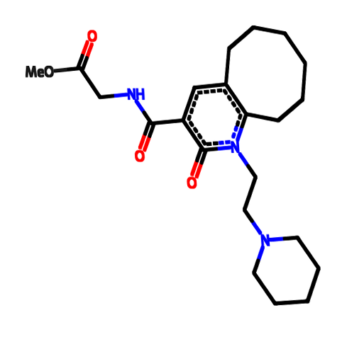 COC(=O)CNC(=O)c1cc2c(n(CCN3CCCCC3)c1=O)CCCCCC2